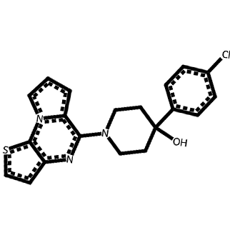 OC1(c2ccc(Cl)cc2)CCN(c2nc3ccsc3n3cccc23)CC1